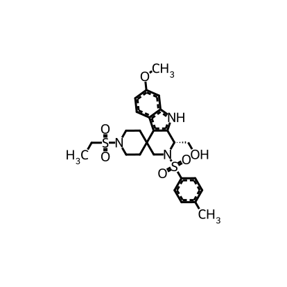 CCS(=O)(=O)N1CCC2(CC1)CN(S(=O)(=O)c1ccc(C)cc1)[C@@H](CO)c1[nH]c3cc(OC)ccc3c12